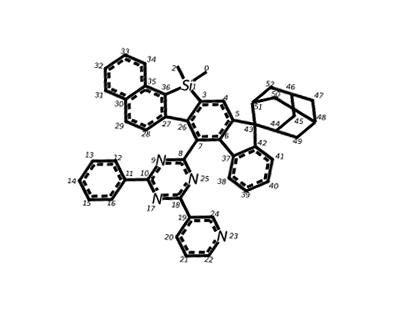 C[Si]1(C)c2cc3c(c(-c4nc(-c5ccccc5)nc(-c5cccnc5)n4)c2-c2ccc4ccccc4c21)-c1ccccc1C31C2CC3CC(C2)CC1C3